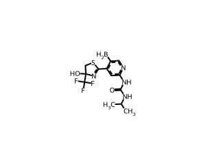 Bc1cnc(NC(=O)NC(C)C)cc1C1=NC(O)(C(F)(F)F)CS1